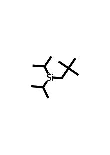 CC(C)[Si](CC(C)(C)C)C(C)C